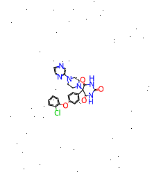 O=C1NC(=O)C(c2ccc(Oc3ccccc3Cl)cc2)(N2CCN(c3cnccn3)CC2)C(=O)N1